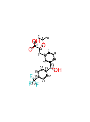 CC(C)OC(Cc1cccc(C(O)c2ccc(C(F)(F)F)cc2)c1)C(=O)O